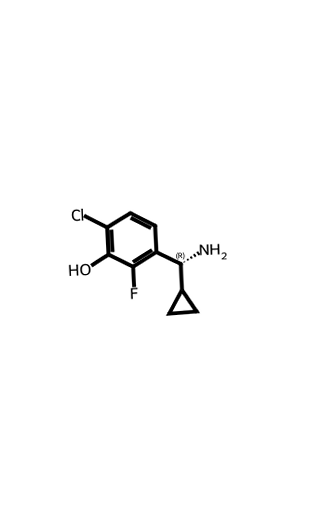 N[C@@H](c1ccc(Cl)c(O)c1F)C1CC1